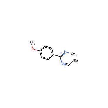 CCC(C)/C=N\C(=N/C)c1ccc(OC(F)(F)F)cc1